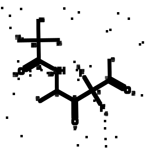 CC(=O)C(F)(F)C(=O)C(C)NC(=O)C(C)(C)C